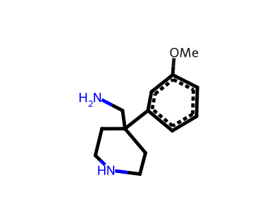 COc1cccc(C2(CN)CCNCC2)c1